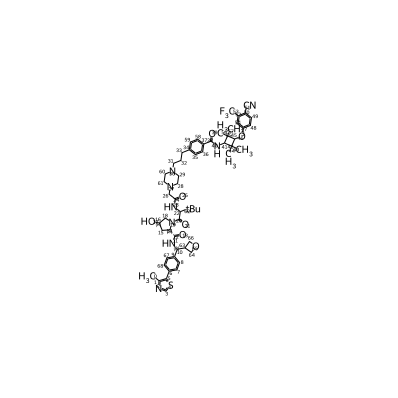 Cc1ncsc1-c1ccc([C@H](NC(=O)[C@@H]2C[C@@H](O)CN2C(=O)C(NC(=O)CN2CCN(CCCc3ccc(C(=O)NC4C(C)(C)C(Oc5ccc(C#N)c(C(F)(F)F)c5)C4(C)C)cc3)CC2)C(C)(C)C)C2COC2)cc1